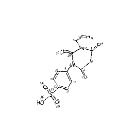 CCN1C(=O)CC(=O)N(c2ccc(S(=O)(=O)O)cc2)C1=O